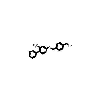 FC(F)(F)c1cc(SCc2ccc(CBr)cc2)ccc1-c1ccccc1